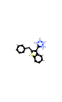 c1ccc(Cc2sc3ccccc3c2-c2nnn[nH]2)cc1